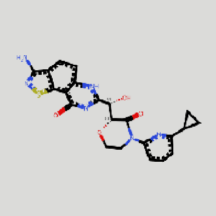 Nc1nsc2c1ccc1[nH]c([C@H](O)[C@H]3OCCN(c4cccc(C5CC5)n4)C3=O)nc(=O)c12